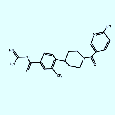 N#Cc1ccc(C(=O)N2CCC(c3ccc(C(=O)NC(=N)N)cc3C(F)(F)F)CC2)cn1